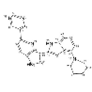 c1ncc(-c2ccc3[nH]nc(-c4cc5c(N6CCCCC6)ccnc5[nH]4)c3n2)cn1